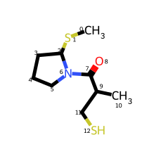 CSC1CCCN1C(=O)C(C)CS